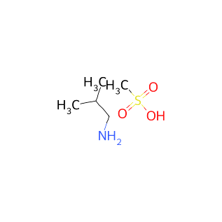 CC(C)CN.CS(=O)(=O)O